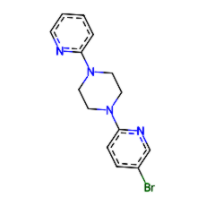 Brc1ccc(N2CCN(c3ccccn3)CC2)nc1